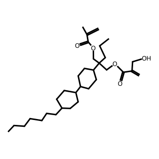 C=C(C)C(=O)OCC(CCC)(COC(=O)C(=C)CO)C1CCC(C2CCC(CCCCCCC)CC2)CC1